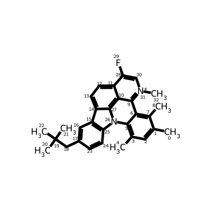 Cc1cc(C)c2c(c1C)c1c3c(ccc4c5cc(CC(C)(C)C)ccc5n2c43)c(F)c[n+]1C